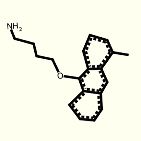 Cc1cccc2c(OCCCCN)c3ccccc3cc12